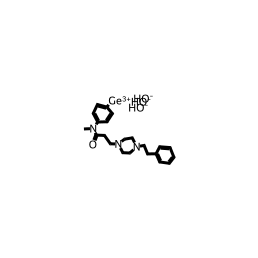 CN(C(=O)CCN1CCN(CCc2ccccc2)CC1)c1cc[c]([Ge+3])cc1.[OH-].[OH-].[OH-]